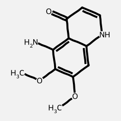 COc1cc2[nH]ccc(=O)c2c(N)c1OC